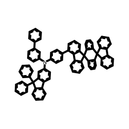 c1ccc(-c2cccc(N(c3ccc(-c4cccc5c4-c4ccccc4C54c5ccccc5C5(c6ccccc6-c6ccccc65)c5ccccc54)cc3)c3ccc4c(c3)C(c3ccccc3)(c3ccccc3)c3ccccc3-4)c2)cc1